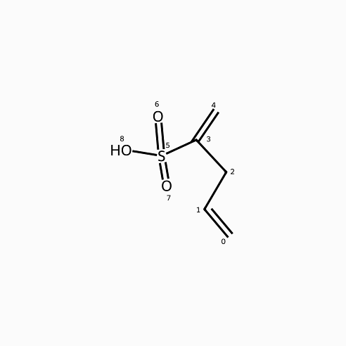 C=CCC(=C)S(=O)(=O)O